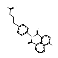 O=C(O)CCCc1ccc(N2C(=O)c3cccc4c(Br)ccc(c34)C2=O)cc1